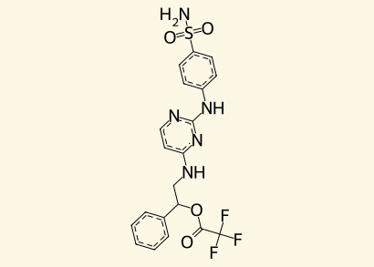 NS(=O)(=O)c1ccc(Nc2nccc(NCC(OC(=O)C(F)(F)F)c3ccccc3)n2)cc1